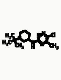 Cc1nc(N[C@@H]2CCCN(C(C)(C)C)C2)nnc1Cl